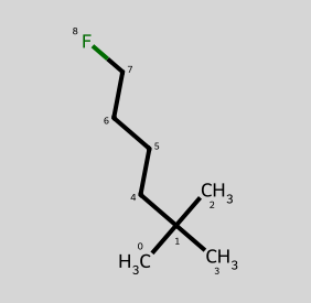 CC(C)(C)CCCCF